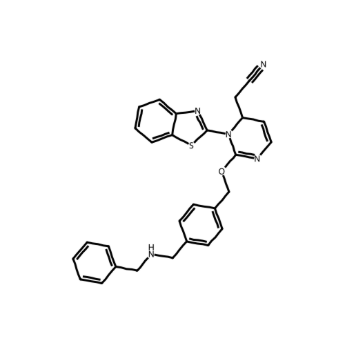 N#CCC1C=CN=C(OCc2ccc(CNCc3ccccc3)cc2)N1c1nc2ccccc2s1